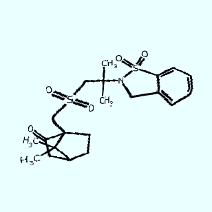 CC(C)(CS(=O)(=O)CC12CCC(CC1=O)C2(C)C)N1Cc2ccccc2S1(=O)=O